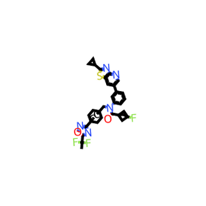 CC(F)(F)c1nc(C23CCC(CN(C(=O)C45CC(F)(C4)C5)c4cccc(-c5cnc6nc(C7CC7)sc6c5)c4)(CC2)CC3)no1